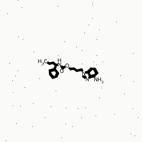 CCCC(NC(=O)OCCCCn1cnc2c(N)cccc21)c1ccccc1